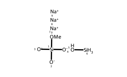 CO[Si]([O-])([O-])[O-].O[SiH3].[Na+].[Na+].[Na+]